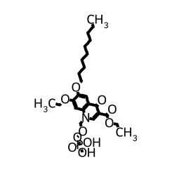 CCCCCCCCCCOc1cc2c(=O)c(C(=O)OCC)cn(COOP(=O)(O)O)c2cc1OCC